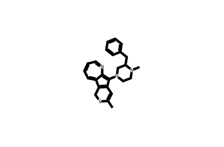 CC1=Cc2c(c3ccccnc-3c2N2CCN(C)C(Cc3ccccc3)C2)CS1